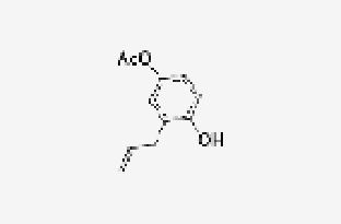 C=CCc1cc(OC(C)=O)ccc1O